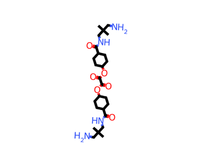 CC(C)(CN)CNC(=O)C1CCC(OC(=O)C(=O)OC2CCC(C(=O)NCC(C)(C)CN)CC2)CC1